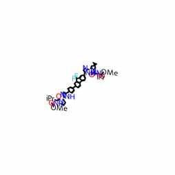 COC(=O)NC(C(=O)N1CCC[C@H]1c1ncc(-c2ccc(-c3ccc4c(c3)C(F)(F)c3cc(-c5cnc([C@@H]6CC7(CC7)CN6C(=O)[C@@H](NC(=O)OC)C(C)C)[nH]5)ccc3-4)cc2)[nH]1)C(C)C